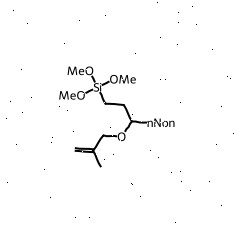 C=C(C)COC(CCCCCCCCC)CC[Si](OC)(OC)OC